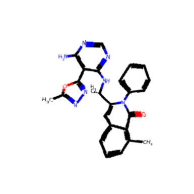 Cc1nnc(-c2c(N)ncnc2N[C@@H](C)c2cc3cccc(C)c3c(=O)n2-c2ccccc2)o1